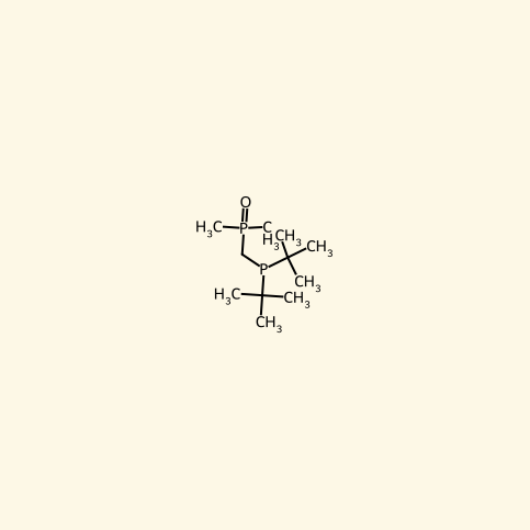 CC(C)(C)P(CP(C)(C)=O)C(C)(C)C